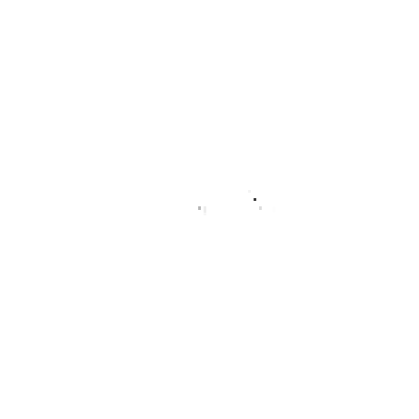 N[C@@H](CNCc1ccccn1)C(=O)O